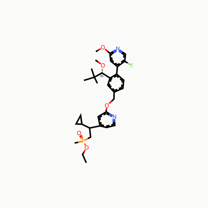 CCOP(C)(=O)CC(c1ccnc(OCc2ccc(-c3cc(OC)ncc3F)c([C@@H](OC)C(C)(C)C)c2)c1)C1CC1